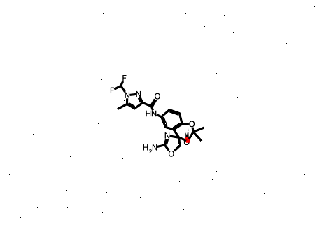 Cc1cc(C(=O)Nc2ccc3c(c2)C2(COC(N)=N2)C2(COC2)C(C)(C)O3)nn1C(F)F